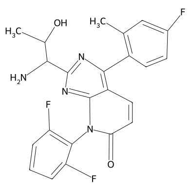 Cc1cc(F)ccc1-c1nc(C(N)C(C)O)nc2c1ccc(=O)n2-c1c(F)cccc1F